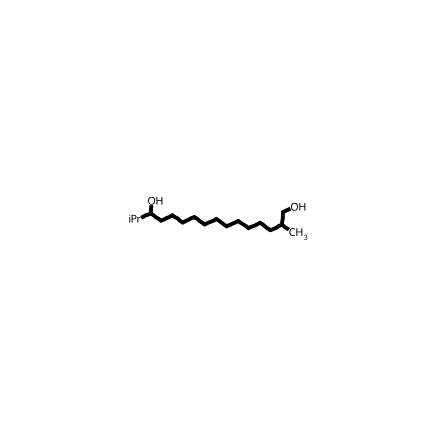 CC(CO)CCCCCCCCCCCC(O)C(C)C